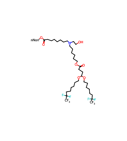 CCCCCCCCCOC(=O)CCCCCCCN(CCO)CCCCCCOC(=O)CCC(OCCCCCCC(F)(F)C(F)(F)F)OCCCCCCC(F)(F)C(F)(F)F